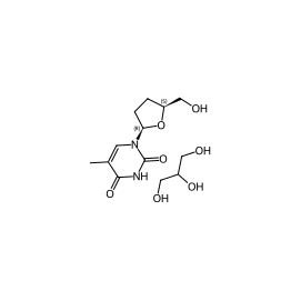 Cc1cn([C@H]2CC[C@@H](CO)O2)c(=O)[nH]c1=O.OCC(O)CO